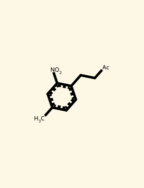 CC(=O)CCc1ccc(C)cc1[N+](=O)[O-]